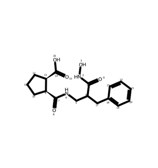 O=C(NO)C(CNC(=O)[C@H]1CCC[C@H]1C(=O)O)Cc1ccccc1